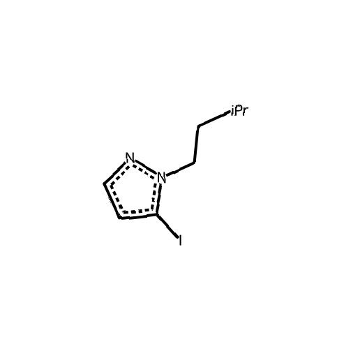 CC(C)CCn1nccc1I